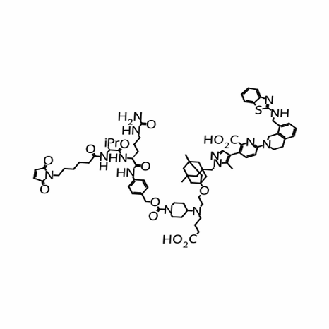 Cc1c(-c2ccc(N3CCc4cccc(CNc5nc6ccccc6s5)c4C3)nc2C(=O)O)cnn1CC12CC3(C)CC(C)(C1)CC(OCCN(CCCC(=O)O)C1CCN(C(=O)OCc4ccc(NC(=O)[C@H](CCCNC(N)=O)NC(=O)[C@@H](NC(=O)CCCCCN5C(=O)C=CC5=O)C(C)C)cc4)CC1)(C3)C2